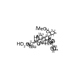 COCOc1ccccc1-c1cc(-c2ccnc(C(=O)NCCN(C(=O)O)C(C)(C)C)c2)c(C#N)c(NC(=O)c2ccco2)n1